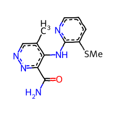 CSc1cccnc1Nc1c(C)cnnc1C(N)=O